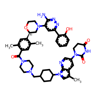 Cc1cc([C@@H]2CN(c3cc(-c4ccccc4O)nnc3N)CCO2)c(C)cc1C(=O)N1CCN(CC2CCC(n3cc(C)c4cc(N5CCC(=O)NC5=O)cnc43)CC2)CC1